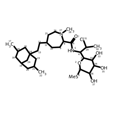 CSC1OC(C(NC(=O)C2CCC(CCC34CC(C)CC(CC(C)C3)C4)CCN2C)C(C)Cl)C(O)C(O)C1O